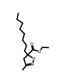 CCCCCCCCC1(C(=O)OCC)CC(C)=NO1